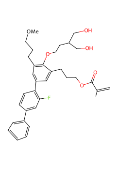 C=C(C)C(=O)OCCCc1cc(-c2ccc(-c3ccccc3)cc2F)cc(CCCOC)c1OCCC(CO)CO